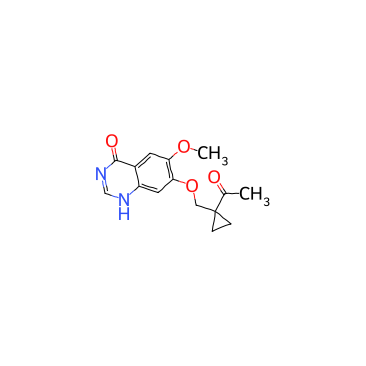 COc1cc2c(=O)nc[nH]c2cc1OCC1(C(C)=O)CC1